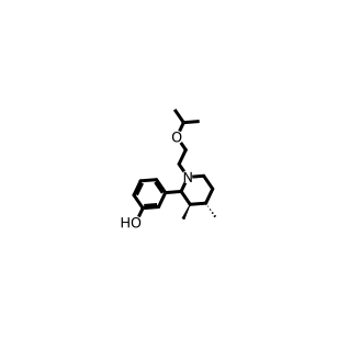 CC(C)OCCN1CC[C@H](C)[C@@H](C)C1c1cccc(O)c1